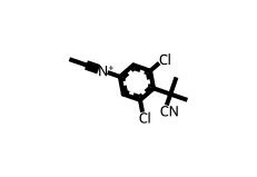 CC#[N+]c1cc(Cl)c(C(C)(C)C#N)c(Cl)c1